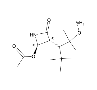 CC(=O)O[C@H]1NC(=O)[C@@H]1C(C(C)(C)C)C(C)(C)O[SiH3]